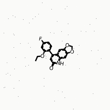 CCOc1cc(F)ccc1-c1cc(=O)[nH]c2cc3c(cc12)OCO3